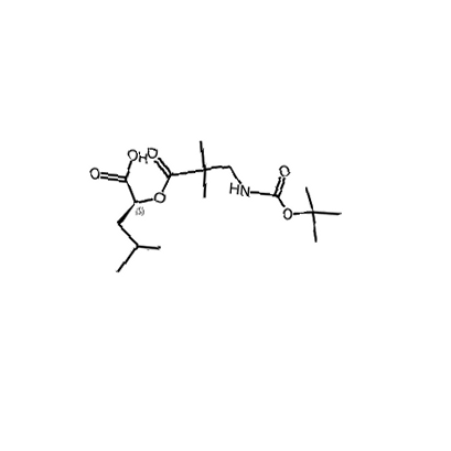 CC(C)C[C@H](OC(=O)C(C)(C)CNC(=O)OC(C)(C)C)C(=O)O